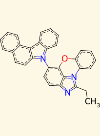 CCc1nc2ccc(-n3c4ccccc4c4c5ccccc5ccc43)c3c2n1-c1ccccc1O3